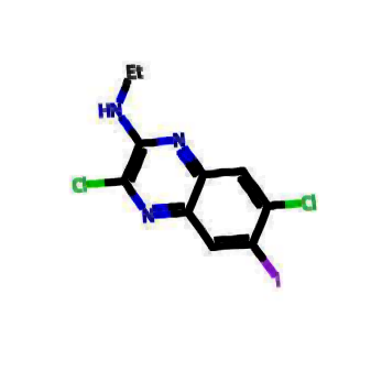 CCNc1nc2cc(Cl)c(I)cc2nc1Cl